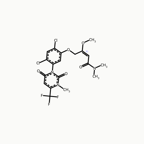 CO/C(=C/C(=O)N(C)C)COc1cc(-n2c(=O)cc(C(F)(F)F)n(C)c2=O)c(Cl)cc1Cl